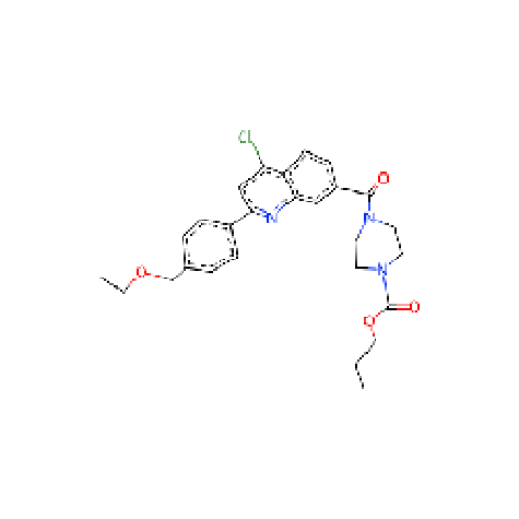 CCCOC(=O)N1CCN(C(=O)c2ccc3c(Cl)cc(-c4ccc(COCC)cc4)nc3c2)CC1